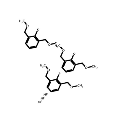 COCc1cccc(COC)c1[S].COCc1cccc(COC)c1[S].COCc1cccc(COC)c1[S].F.F.F